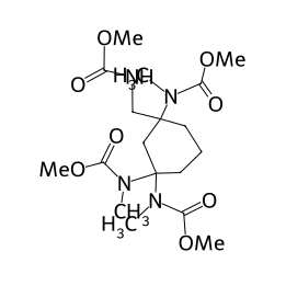 COC(=O)NCC1(N(C)C(=O)OC)CCCC(N(C)C(=O)OC)(N(C)C(=O)OC)C1